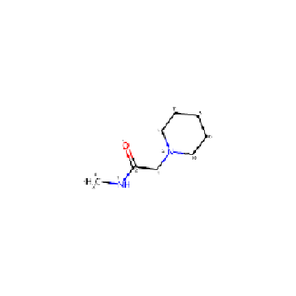 [CH2]NC(=O)CN1CCCCC1